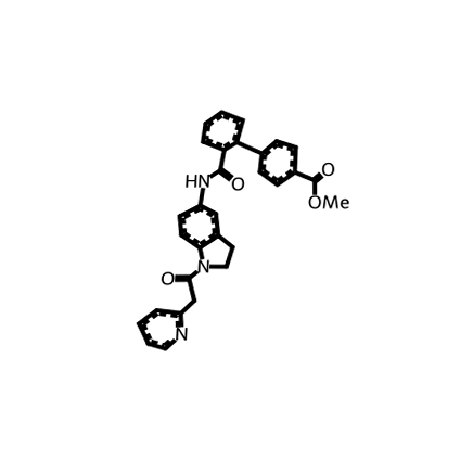 COC(=O)c1ccc(-c2ccccc2C(=O)Nc2ccc3c(c2)CCN3C(=O)Cc2ccccn2)cc1